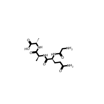 C[C@H](NC(=O)[C@H](C)NC(=O)[C@H](CCC(N)=O)NC(=O)CN)C(=O)O